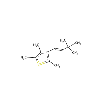 Cc1sc(C)c(/C=C/C(C)(C)C)c1C